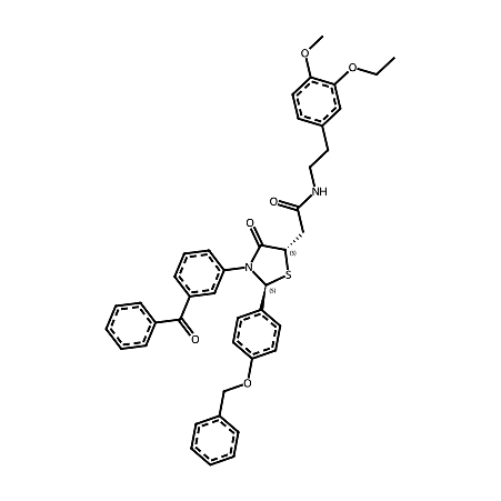 CCOc1cc(CCNC(=O)C[C@@H]2S[C@@H](c3ccc(OCc4ccccc4)cc3)N(c3cccc(C(=O)c4ccccc4)c3)C2=O)ccc1OC